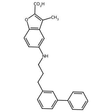 Cc1c(C(=O)O)oc2ccc(NCCCc3cccc(-c4ccccc4)c3)cc12